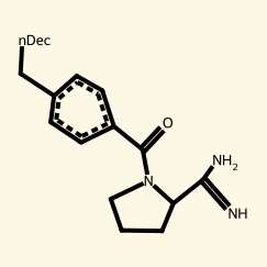 CCCCCCCCCCCc1ccc(C(=O)N2CCCC2C(=N)N)cc1